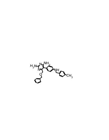 Cc1ccc(CNc2ccc(-c3c(N)nc(N)nc3COCc3ccccc3)cc2)cc1